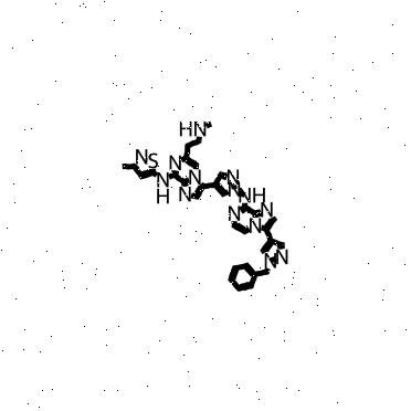 CNCCc1cn2c(-c3cnn(Nc4nccn5c(-c6cnn(Cc7ccccc7)c6)cnc45)c3)cnc2c(Nc2cc(C)ns2)n1